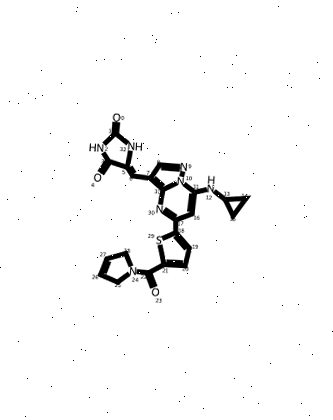 O=C1NC(=O)/C(=C/c2cnn3c(NC4CC4)cc(-c4ccc(C(=O)N5CC=CC5)s4)nc23)N1